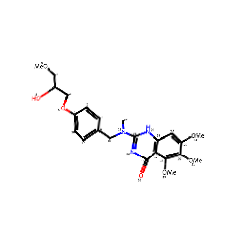 COCC(O)COc1ccc(CN(C)c2nc(=O)c3c(OC)c(OC)c(OC)cc3[nH]2)cc1